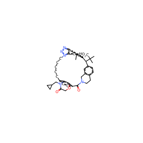 Cc1c2ccc3c1nnn3CCCCCc1ccc(c3c1N(CC1CC1)C(=O)CO3)C(=O)N1CCc3ccc(cc3C1)C2C(C)(C)C(=O)O